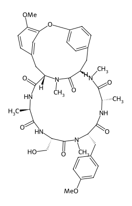 COc1ccc(C[C@H]2C(=O)N[C@@H](C)C(=O)N(C)[C@H]3Cc4ccc(cc4)Oc4cc(ccc4OC)C[C@@H](C(=O)N[C@H](C)C(=O)N[C@@H](CO)C(=O)N2C)N(C)C3=O)cc1